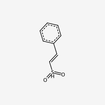 O=[SH](=O)/C=C/c1ccccc1